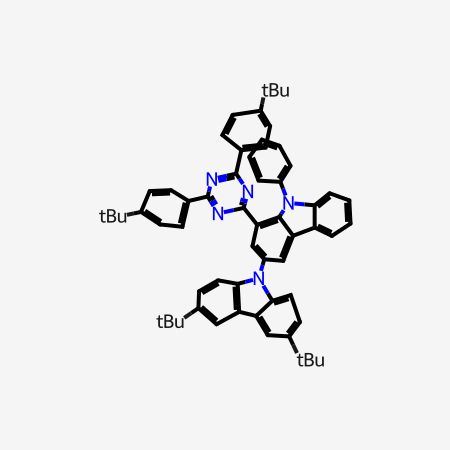 CC(C)(C)c1ccc(-c2nc(-c3ccc(C(C)(C)C)cc3)nc(-c3cc(-n4c5ccc(C(C)(C)C)cc5c5cc(C(C)(C)C)ccc54)cc4c5ccccc5n(-c5ccccc5)c34)n2)cc1